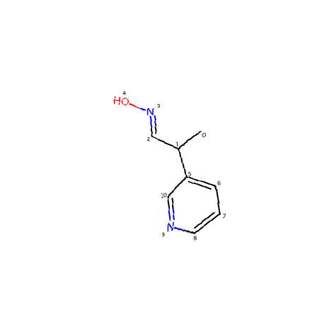 CC(C=NO)c1cccnc1